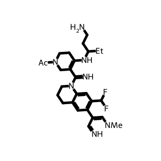 CCC(CCN)NC1=C(C(=N)N2CCCc3cc(/C(C=N)=C/NC)c(C(F)F)cc32)CN(C(C)=O)CC1